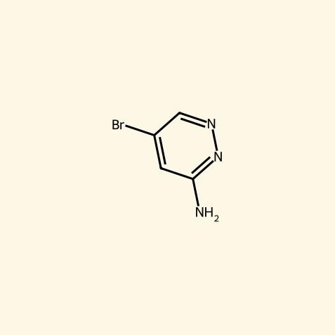 Nc1cc(Br)cnn1